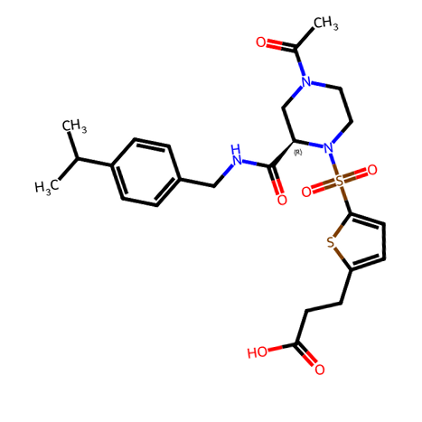 CC(=O)N1CCN(S(=O)(=O)c2ccc(CCC(=O)O)s2)[C@@H](C(=O)NCc2ccc(C(C)C)cc2)C1